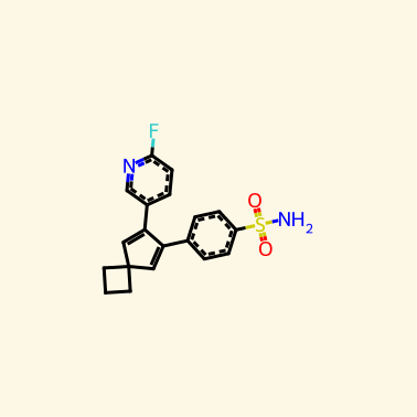 NS(=O)(=O)c1ccc(C2=CC3(C=C2c2ccc(F)nc2)CCC3)cc1